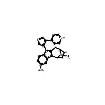 Cc1ccc2c(c1)c1c(n2-c2cscc2-c2ccncc2)CC2CCC1N2C